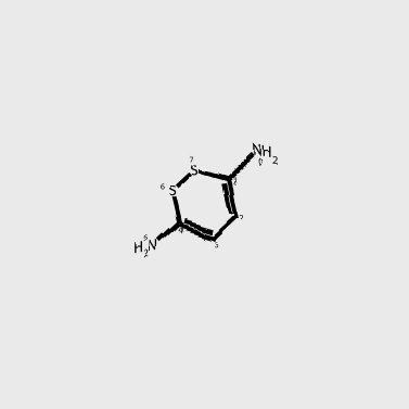 NC1=CC=C(N)SS1